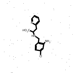 Nc1cc(Cl)ccc1CNC(Cc1ccccn1)C(=O)O